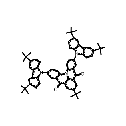 CC(C)(C)c1cc2c(=O)c3cc(-n4c5ccc(C(C)(C)C)cc5c5cc(C(C)(C)C)ccc54)ccc3n3c4ccc(-n5c6ccc(C(C)(C)C)cc6c6cc(C(C)(C)C)ccc65)cc4c(=O)c(c1)c23